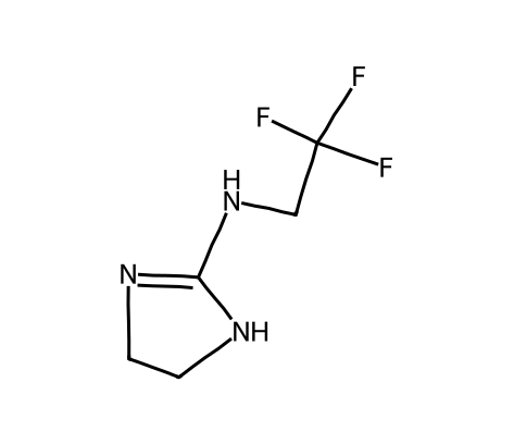 FC(F)(F)CNC1=NCCN1